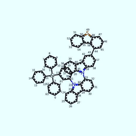 c1ccc([Si](c2ccccc2)(c2ccccc2)c2cccc(-n3c4ccccc4c4cccc(-n5c6ccccc6c6cc(-c7cccc8sc9ccccc9c78)ccc65)c43)c2)cc1